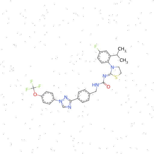 CC(C)c1cc(F)ccc1N1CCS/C1=N\C(=O)NCc1ccc(-c2ncn(-c3ccc(OC(F)(F)F)cc3)n2)cc1